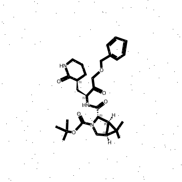 CC(C)(C)OC(=O)N1C[C@H]2[C@@H]([C@H]1C(=O)N[C@@H](C[C@@H]1CCCNC1=O)C(=O)COCc1ccccc1)C2(C)C